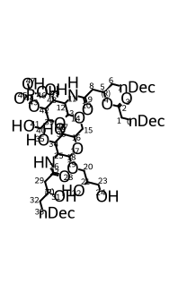 CCCCCCCCCCCC(=O)O[C@H](CCCCCCCCCCC)CC(=O)NC1C(OCC2OC(OCC(O)CO)C(NC(=O)C[C@H](O)CCCCCCCCCCC)C(O)C2O)OC(CO)C(OP(=O)(O)O)C1O